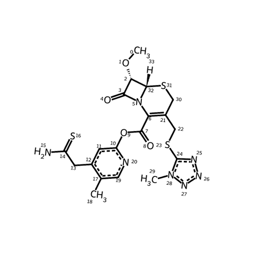 CO[C@H]1C(=O)N2C(C(=O)Oc3cc(CC(N)=S)c(C)cn3)=C(CSc3nnnn3C)CS[C@@H]12